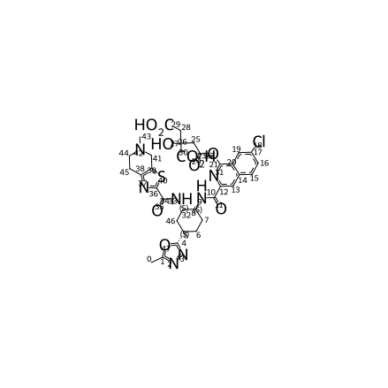 Cc1nnc([C@H]2CC[C@H](NC(=O)c3cc4ccc(Cl)cc4c(OC(=O)CC(O)(CC(=O)O)C(=O)O)n3)[C@@H](NC(=O)c3nc4c(s3)CN(C)CC4)C2)o1